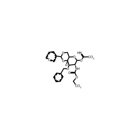 N=C(OC1OC2COC(c3ccccc3)O[C@H]2C(OCc2ccccc2)[C@@H]1NC(=O)OCC(Cl)(Cl)Cl)C(Cl)(Cl)Cl